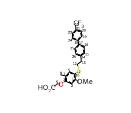 COc1cc(OCC(=O)O)c(C)cc1SCCc1ccc(-c2ccc(C(F)(F)F)cc2)cc1